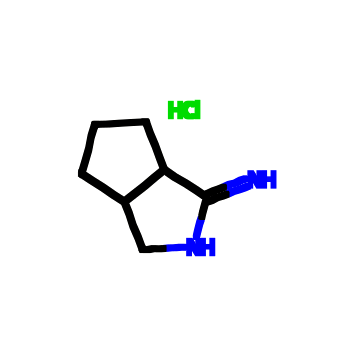 Cl.N=C1NCC2CCCC12